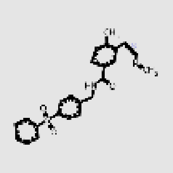 C=N/C=C\c1cc(C(=O)NCc2ccc(S(=O)(=O)c3ccccc3)cc2)ccc1C